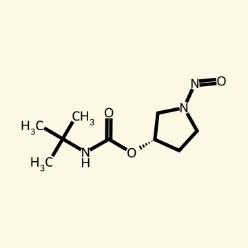 CC(C)(C)NC(=O)O[C@H]1CCN(N=O)C1